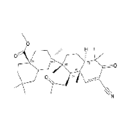 COC(=O)[C@]12CCC(C)(C)CC1C[C@](C)([C@]1(C)CC[C@H]3C(C)(C)C(=O)C(C#N)=C[C@]3(C)[C@H]1CC(C)=O)CC2